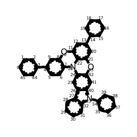 c1ccc(-c2ccc3c(c2)Oc2cc(-c4ccccc4)cc4c2N3c2cc3c5ccccc5n(-c5ccccc5)c3cc2O4)cc1